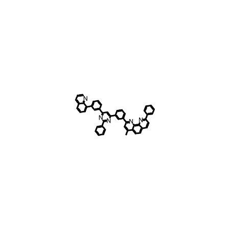 Cc1cc(-c2cccc(-c3cc(-c4cccc(-c5cccc6cccnc56)c4)nc(-c4ccccc4)n3)c2)nc2c1ccc1ccc(-c3ccccc3)nc12